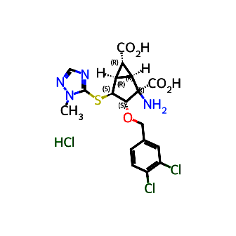 Cl.Cn1ncnc1S[C@H]1[C@H]2[C@H](C(=O)O)[C@H]2[C@](N)(C(=O)O)[C@@H]1OCc1ccc(Cl)c(Cl)c1